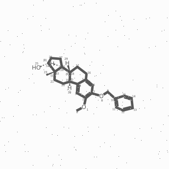 COc1cc2c(cc1OCc1ccccc1)CC[C@@H]1[C@@H]2CC[C@]2(C)[C@H](O)CC[C@@H]12